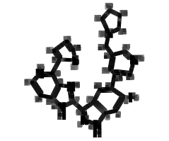 Fc1cc2[nH]nc(-c3nc4c(-c5cccs5)nccc4[nH]3)c2cc1-c1cncc(CN2CCCC2)c1